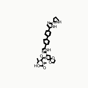 CC(C)[C@@H](C(=O)N1CC2(C[C@H]1c1ncc(-c3ccc(-c4ccc(-c5cnc([C@@H]6CCCN6)[nH]5)cc4)cc3)[nH]1)OCCO2)N(C)C(=O)O